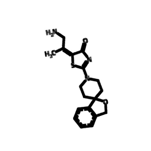 C/C(CN)=C1\SC(N2CCC3(CC2)OCc2ccccc23)=NC1=O